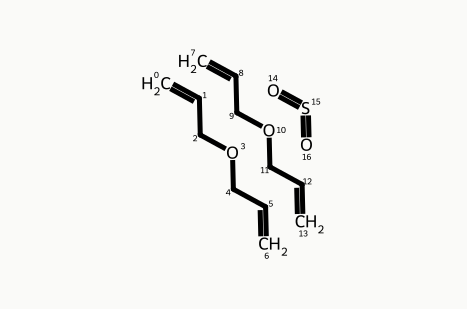 C=CCOCC=C.C=CCOCC=C.O=S=O